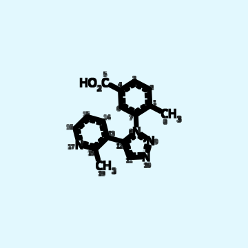 Cc1ccc(C(=O)O)cc1-n1nncc1-c1cccnc1C